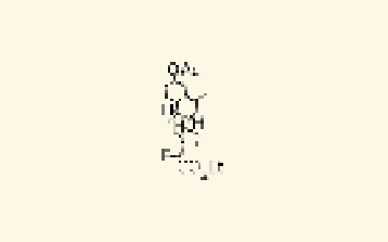 CCOC(=O)C(F)=C1CC[C@H]2[C@@H]3CC(C)=C4C=C(OC(C)=O)CC[C@]4(C)[C@H]3CC[C@]12C